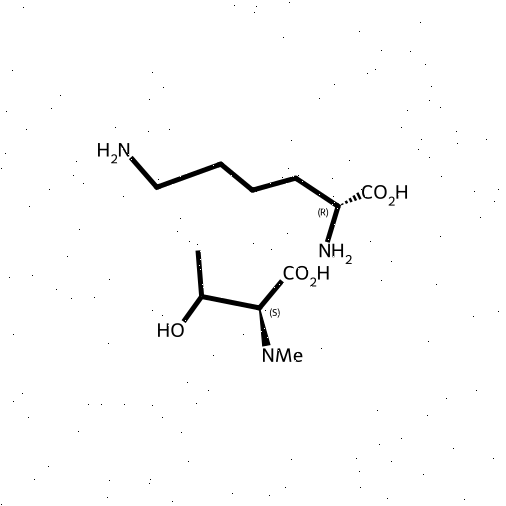 CN[C@H](C(=O)O)C(C)O.NCCCC[C@@H](N)C(=O)O